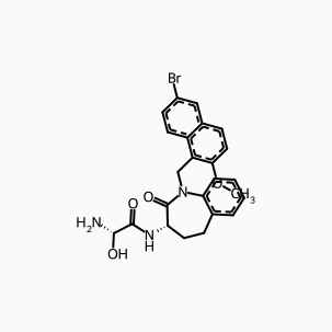 COc1ccc2cc(Br)ccc2c1CN1C(=O)[C@@H](NC(=O)[C@@H](N)O)CCc2ccccc21